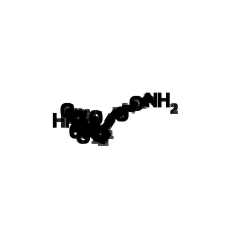 NCCOCCOCC#Cc1cccc2c1C(=O)N(C1CCC(=O)NC1=O)C2=O